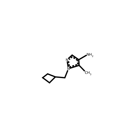 Cc1c(N)cnn1CC1CCC1